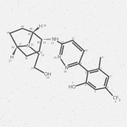 Cc1cc(C(F)(F)F)cc(O)c1-c1ccc(N[C@@H]2CC[C@@H]3CC[C@H]2N3CCO)nn1